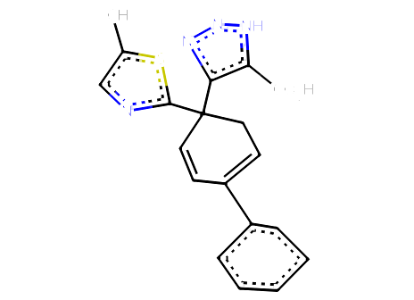 Cc1cnc(C2(c3nn[nH]c3C(=O)O)C=CC(c3ccccc3)=CC2)s1